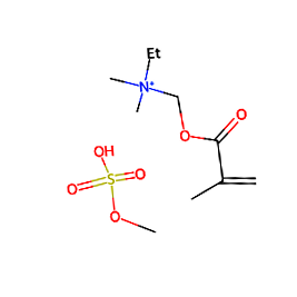 C=C(C)C(=O)OC[N+](C)(C)CC.COS(=O)(=O)O